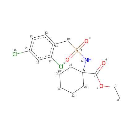 CCOC(=O)C1(NS(=O)(=O)Cc2ccc(Cl)cc2Cl)CCCCC1